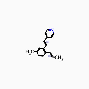 C/C=C/c1ccc(C)cc1/C=C/c1ccncc1